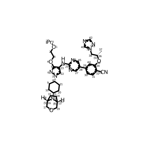 CC(C)OCCOc1nn([C@H]2CC[C@H](N3[C@@H]4CC[C@H]3COC4)CC2)cc1Nc1ncc(-c2ccc(C#N)c(O[C@@H](C)Cn3cncn3)c2)cn1